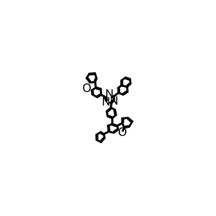 c1ccc(-c2cc(-c3ccc(-c4nc(-c5ccc6ccccc6c5)nc(-c5ccc6oc7ccccc7c6c5)n4)cc3)c3c(c2)oc2ccccc23)cc1